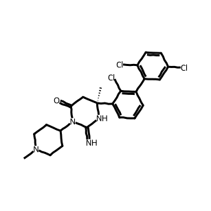 CN1CCC(N2C(=N)N[C@](C)(c3cccc(-c4cc(Cl)ccc4Cl)c3Cl)CC2=O)CC1